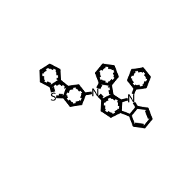 C1=CC2c3ccc4c(c3N(c3ccccc3)C2C=C1)c1ccccc1n4-c1ccc2sc3ccccc3c2c1